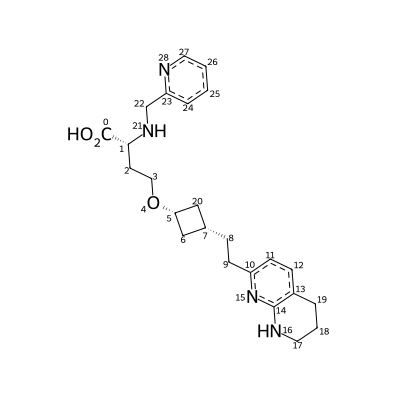 O=C(O)[C@@H](CCO[C@H]1C[C@@H](CCc2ccc3c(n2)NCCC3)C1)NCc1ccccn1